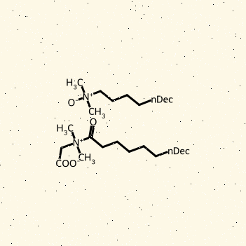 CCCCCCCCCCCCCCCC(=O)[N+](C)(C)CC(=O)[O-].CCCCCCCCCCCCCC[N+](C)(C)[O-]